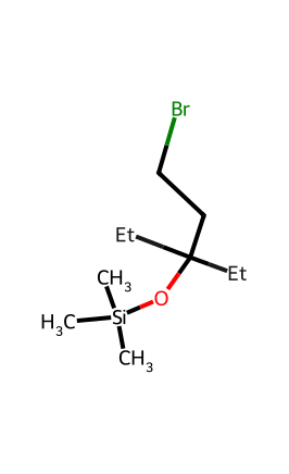 CCC(CC)(CCBr)O[Si](C)(C)C